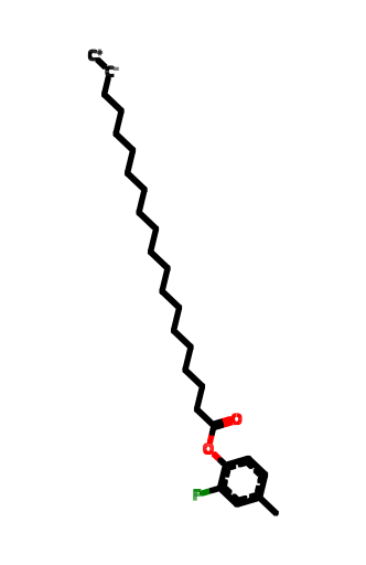 [CH2+][CH-]CCCCCCCCCCCCCCCCCC(=O)Oc1ccc(C)cc1F